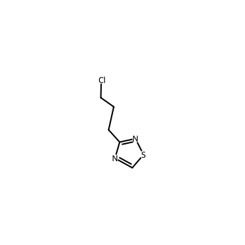 ClCCCc1ncsn1